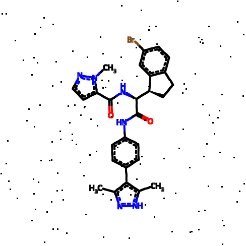 Cc1n[nH]c(C)c1-c1ccc(NC(=O)[C@@H](NC(=O)c2ccnn2C)[C@@H]2CCc3ccc(Br)cc32)cc1